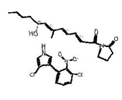 CCCC[C@@H](O)/C=C(C)/C=C/C=C/C(=O)N1CCCC1=O.O=[N+]([O-])c1c(Cl)cccc1-c1c[nH]cc1Cl